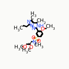 C=C1NC(c2cc(S(=O)(=O)N(C)C[C@H](COC)OC)ccc2OCC)=Nn2c(CCC)nc(C)c21